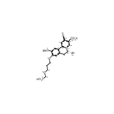 COc1cc2c(cc1OCCCOCC(=O)O)C[C@@H](C(C)C)n1cc(C(=O)O)c(=O)cc1-2